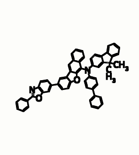 CC1(C)c2ccccc2-c2ccc(N(c3ccc(-c4ccccc4)cc3)c3c4ccccc4cc4c3oc3ccc(-c5ccc6nc(-c7ccccc7)oc6c5)cc34)cc21